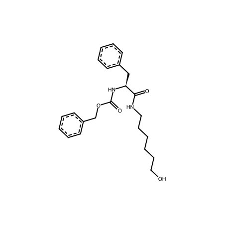 O=C(N[C@@H](Cc1ccccc1)C(=O)NCCCCCCO)OCc1ccccc1